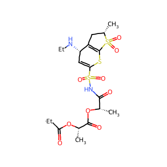 C[CH]C(=O)O[C@@H](C)C(=O)O[C@@H](C)C(=O)NS(=O)(=O)C1=C[C@H](NCC)C2=C(S1)S(=O)(=O)[C@@H](C)C2